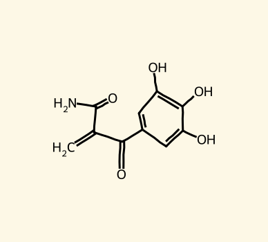 C=C(C(N)=O)C(=O)c1cc(O)c(O)c(O)c1